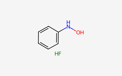 F.ONc1ccccc1